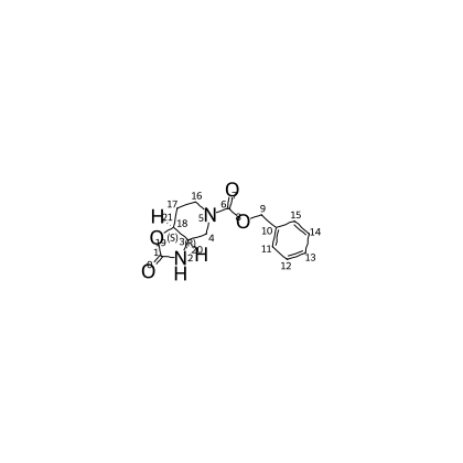 O=C1N[C@@H]2CN(C(=O)OCc3ccccc3)CC[C@@H]2O1